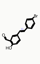 O=Cc1cc(/C=C/c2ccc(Br)cc2)ccc1O